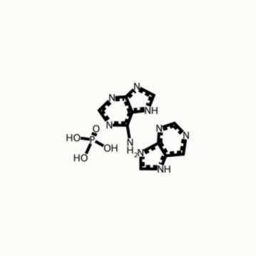 Nc1ncnc2nc[nH]c12.O=P(O)(O)O.c1ncc2[nH]cnc2n1